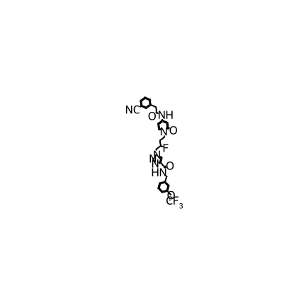 N#Cc1cccc(CC(=O)Nc2ccn(CCC(F)Cn3cc(C(=O)NCc4cccc(OC(F)(F)F)c4)nn3)c(=O)c2)c1